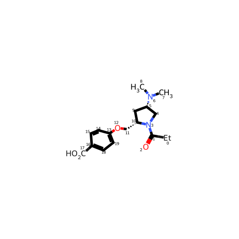 CCC(=O)N1C[C@@H](N(C)C)C[C@H]1COc1ccc(C(=O)O)cc1